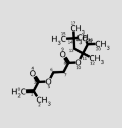 C=C(C)C(=O)OCCC(=O)OC(C)(CC(C)(C)C)C(C)C